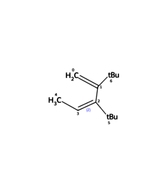 C=C(/C(=C\C)C(C)(C)C)C(C)(C)C